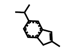 CC1=Cc2cc(C(C)C)ccc2[CH]1